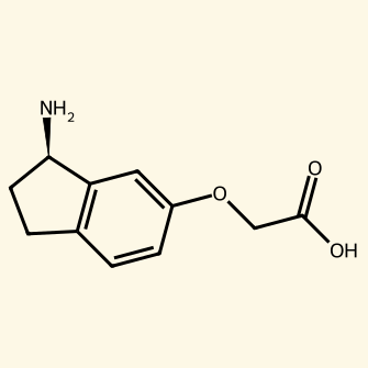 N[C@@H]1CCc2ccc(OCC(=O)O)cc21